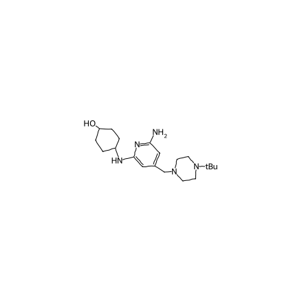 CC(C)(C)N1CCN(Cc2cc(N)nc(NC3CCC(O)CC3)c2)CC1